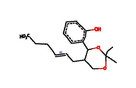 CC1(C)OCC(C/C=C/CCC(=O)O)C(c2ccccc2O)O1